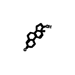 CC12C=CC3=C(CCC4=CC(=O)CCC43)C1CCC2O